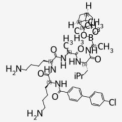 CC(C)C[C@H](NC(=O)[C@H](C)NC(=O)[C@H](CCCCN)NC(=O)[C@H](CCCCN)NC(=O)c1ccc(-c2ccc(Cl)cc2)cc1)C(=O)N[C@@H](C)B1OC2C[C@@H]3C[C@@H](C3(C)C)[C@]2(C)O1